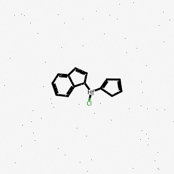 [Cl][Hf]([C]1=CC=CC1)[CH]1C=Cc2ccccc21